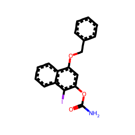 NC(=O)Oc1cc(OCc2ccccc2)c2ccccc2c1I